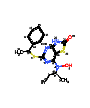 CC(C)C[C@@H](C)N(O)c1nc(SC(C)c2ccccc2)nc2[nH]c(=O)sc12